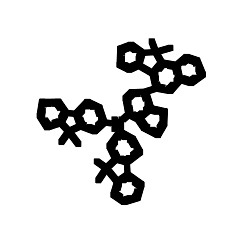 CC1(C)c2ccccc2-c2ccc(N(c3ccc4c(c3)C(C)(C)c3ccccc3-4)c3ccc(-c4cc5ccccc5c5c4-c4ccccc4C5(C)C)c4ccccc34)cc21